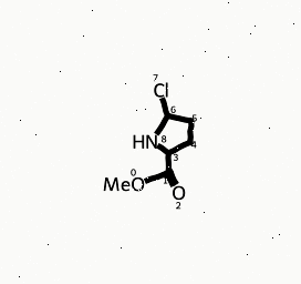 COC(=O)C1CCC(Cl)N1